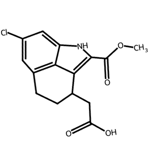 COC(=O)c1[nH]c2cc(Cl)cc3c2c1C(CC(=O)O)CC3